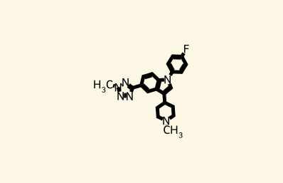 CN1CCC(c2cn(-c3ccc(F)cc3)c3ccc(-c4nnn(C)n4)cc23)CC1